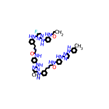 C=CC(=O)Nc1cccc(Nc2ncc(F)c(Nc3cccc(C/C=C/C(=O)Nc4cccc(Nc5ncc(C)c(Nc6cccc(C/C=C/C(=O)Nc7cccc(Nc8nccc(Nc9cccc(C)c9)n8)c7)c6)n5)c4)c3)n2)c1